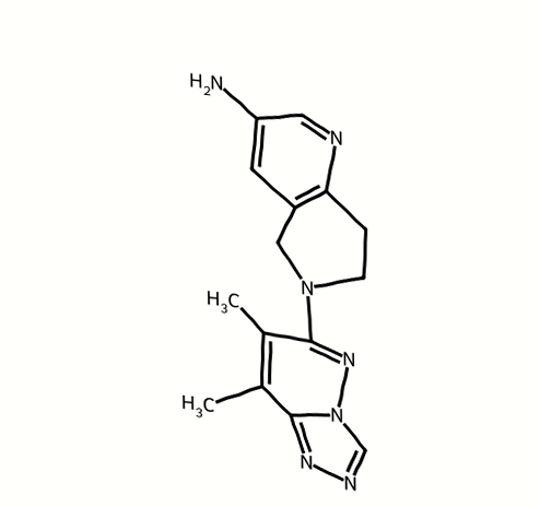 Cc1c(N2CCc3ncc(N)cc3C2)nn2cnnc2c1C